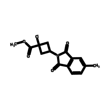 COC(=O)C1(Cl)CC(N2C(=O)c3ccc(C)cc3C2=O)C1